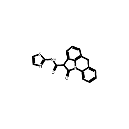 O=C(Nc1nccs1)C1C(=O)N2c3ccccc3Cc3cccc1c32